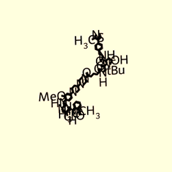 COc1cc(N2CCC(N3CCN(C(=O)CCCC(=O)N[C@H](C(=O)N4C[C@H](O)C[C@H]4C(=O)NCc4ccc(-c5scnc5C)cc4)C(C)(C)C)CC3)CC2)ccc1Nc1ncc(Cl)c(Nc2ccccc2P(C)(C)=O)n1